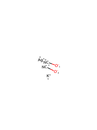 N#C[O-].N#C[O-].[Ag+].[K+]